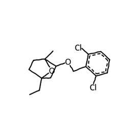 CCC12CCC(C)(O1)C(OCc1c(Cl)cccc1Cl)C2